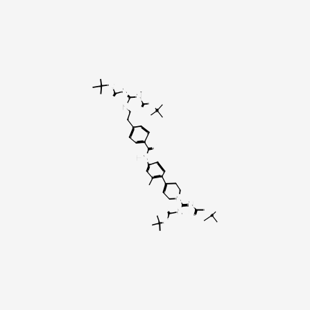 Cc1cc(NC(=O)c2ccc(CCN/C(=N\C(=O)OC(C)(C)C)N(C)C(=O)OC(C)(C)C)cc2)ccc1C1=CCN(/C(=N/C(=O)OC(C)(C)C)NC(=O)OC(C)(C)C)CC1